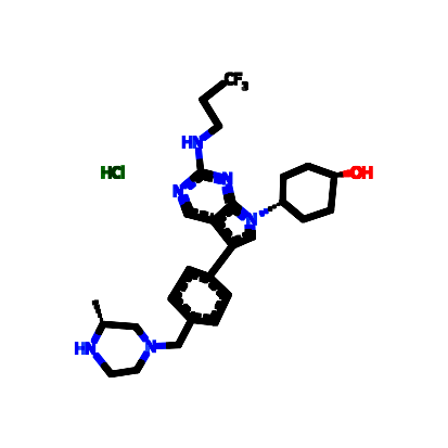 C[C@@H]1CN(Cc2ccc(-c3cn([C@H]4CC[C@H](O)CC4)c4nc(NCCC(F)(F)F)ncc34)cc2)CCN1.Cl